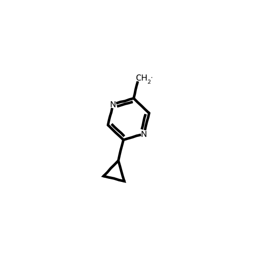 [CH2]c1cnc(C2CC2)cn1